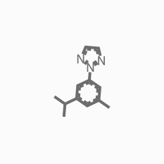 Cc1cc(C(C)C)cc(-n2nccn2)c1